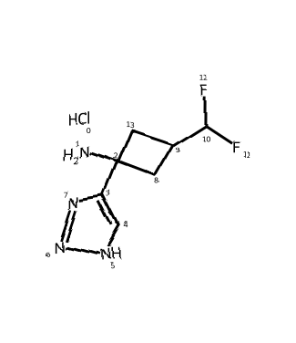 Cl.NC1(c2c[nH]nn2)CC(C(F)F)C1